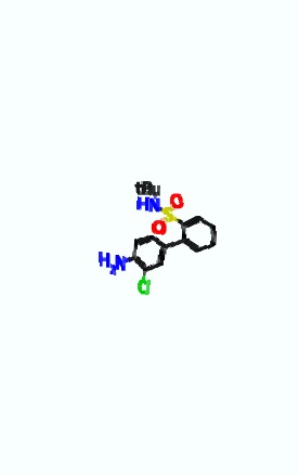 CC(C)(C)NS(=O)(=O)c1ccccc1-c1ccc(N)c(Cl)c1